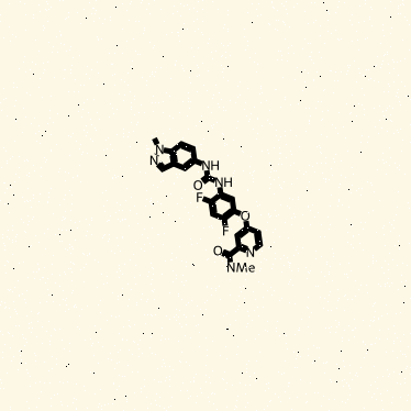 CNC(=O)c1cc(Oc2cc(NC(=O)Nc3ccc4c(cnn4C)c3)c(F)cc2F)ccn1